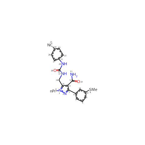 CCCn1nc(-c2cccc(SC)c2)c(C(N)=O)c1CNC(=O)Nc1ccc(C#N)cc1